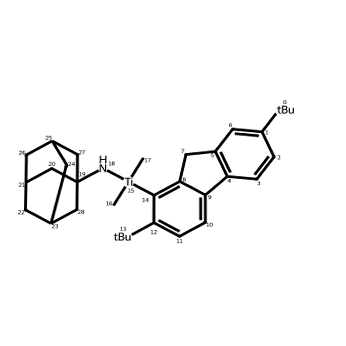 CC(C)(C)c1ccc2c(c1)Cc1c-2ccc(C(C)(C)C)[c]1[Ti]([CH3])([CH3])[NH]C12CC3CC(CC(C3)C1)C2